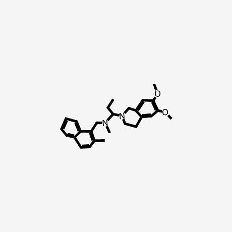 CCC(N(C)Cc1c(C)ccc2ccccc12)N1CCc2cc(OC)c(OC)cc2C1